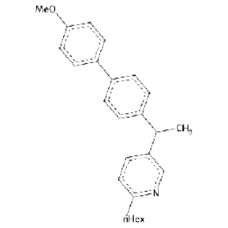 CCCCCCc1ccc(C(C)c2ccc(-c3ccc(OC)cc3)cc2)cn1